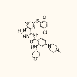 CN1CCN(c2ccc(C(=O)NC(=N)c3nc(Sc4cc(Cl)ccc4Cl)cnc3N)c(NC3CCOCC3)c2)CC1